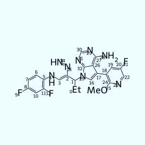 CCC(/C(=C/Nc1ccc(F)cc1F)N=N)n1cc(-c2cc(F)cnc2OC)c2c(N)ncnc21